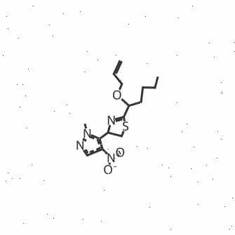 C=CCOC(CCCC)C1=NC(c2c([N+](=O)[O-])cnn2C)CS1